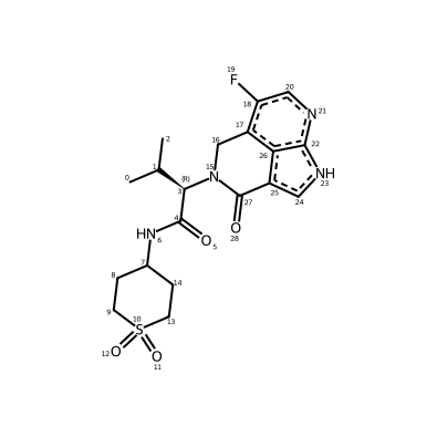 CC(C)[C@H](C(=O)NC1CCS(=O)(=O)CC1)N1Cc2c(F)cnc3[nH]cc(c23)C1=O